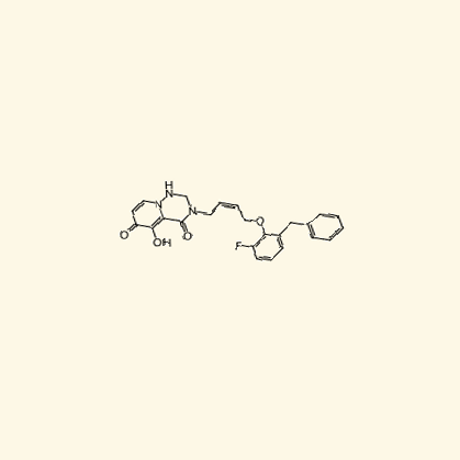 O=C1c2c(O)c(=O)ccn2NCN1C/C=C\COc1c(F)cccc1Cc1ccccc1